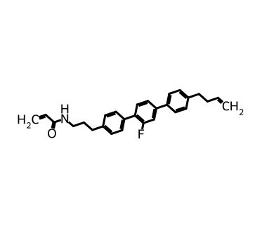 C=CCCc1ccc(-c2ccc(-c3ccc(CCCNC(=O)C=C)cc3)c(F)c2)cc1